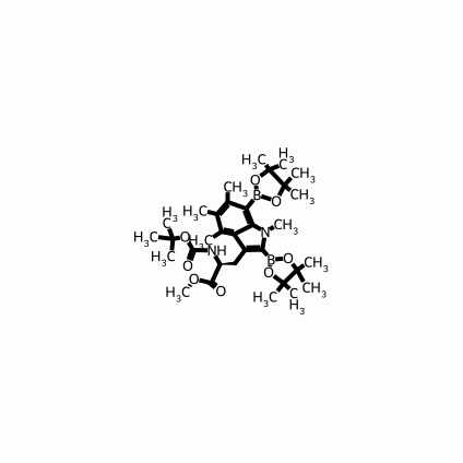 COC(=O)[C@H](Cc1c(B2OC(C)(C)C(C)(C)O2)n(C)c2c(B3OC(C)(C)C(C)(C)O3)c(C)c(C)c(C)c12)NC(=O)OC(C)(C)C